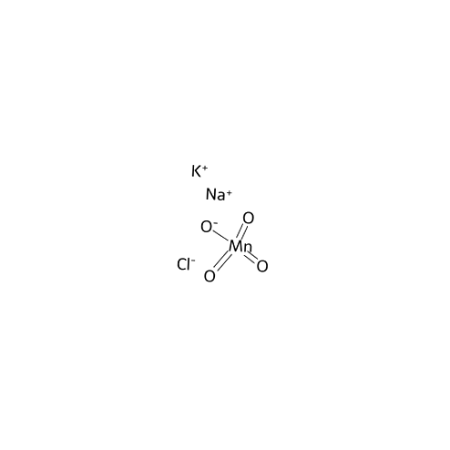 [Cl-].[K+].[Na+].[O]=[Mn](=[O])(=[O])[O-]